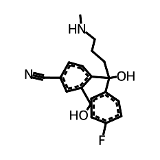 CNCCCC(O)(c1ccc(F)cc1)c1ccc(C#N)cc1CO